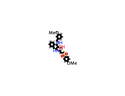 COc1ccc(S(=O)(=O)CCC(=O)N[C@@H](Cc2ccccc2)[C@@H](O)CNCc2cccc(OC)c2)cc1